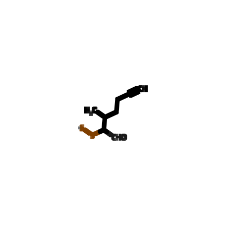 C#CCCC(C)C(C=O)S[S]